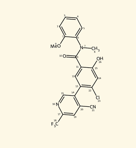 COc1ccccc1N(C)C(=O)c1cc(-c2cnc(C(F)(F)F)cc2C#N)c(Cl)cc1O